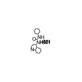 CNC.Cl.Cl.O=C(Nc1ccccc1)Nc1ccnc2ccccc12